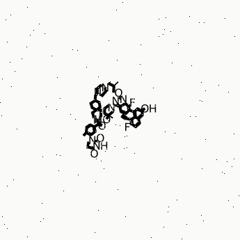 C#Cc1c(F)ccc2cc(O)cc(-c3ccc4c(N5CCC[C@@](C)(O)C5)nc(OC[C@H](C)CN5CCN(CC6CCC7(CC6)CCN(C(=O)c6ccc(C)c(N8CCC(=O)NC8=O)c6)CC7)CC5)nc4c3F)c12